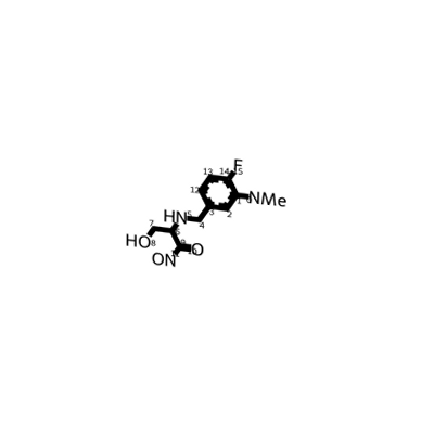 CNc1cc(CNC(CO)C(=O)N=O)ccc1F